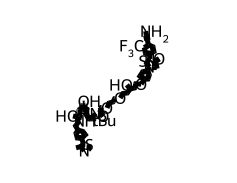 Cc1ncsc1-c1ccc(CNC(O)[C@@H]2C[C@@H](O)CN2C[C@@H](NC(=O)COCCCOCCC(O)CCOc2ccc(N3C(=S)N(c4ccc(C#CN)c(C(F)(F)F)c4)C(=O)C3(C)C)cc2)C(C)(C)C)cc1